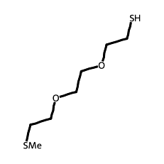 CSCCOCCOCCS